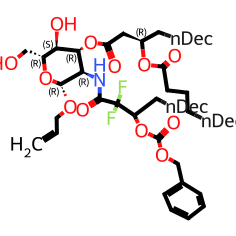 C=CCO[C@@H]1O[C@H](CO)[C@@H](O)[C@H](OC(=O)C[C@@H](CCCCCCCCCCC)OC(=O)CCCCCCCCCCCCC)[C@H]1NC(=O)C(F)(F)C(CCCCCCCCCCC)OC(=O)OCc1ccccc1